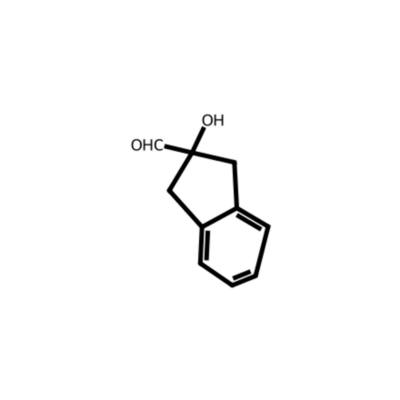 O=CC1(O)Cc2ccccc2C1